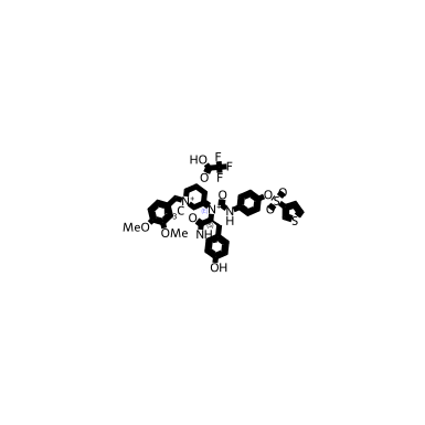 COc1ccc(C[N+]2(C)CCC/C(=[N+](\C(=O)Nc3ccc(OS(=O)(=O)c4ccsc4)cc3)[C@@H](Cc3ccc(O)cc3)C(N)=O)C2)cc1OC.O=C(O)C(F)(F)F